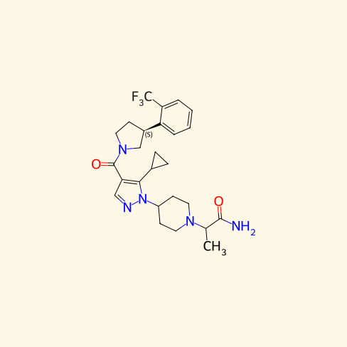 CC(C(N)=O)N1CCC(n2ncc(C(=O)N3CC[C@@H](c4ccccc4C(F)(F)F)C3)c2C2CC2)CC1